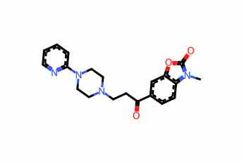 Cn1c(=O)oc2cc(C(=O)CCN3CCN(c4ccccn4)CC3)ccc21